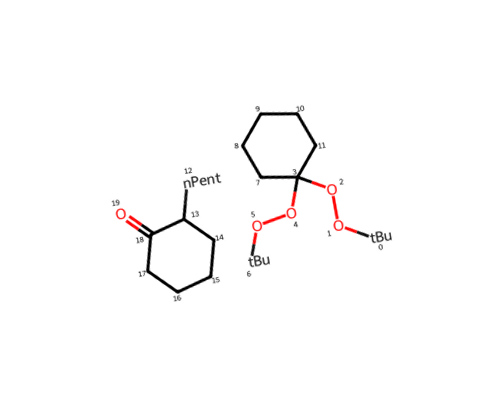 CC(C)(C)OOC1(OOC(C)(C)C)CCCCC1.CCCCCC1CCCCC1=O